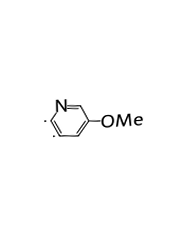 COc1c[c][c]nc1